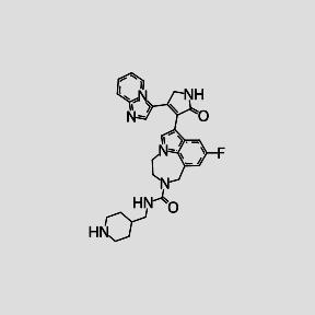 O=C1NCC(c2cnc3ccccn23)=C1c1cn2c3c(cc(F)cc13)CN(C(=O)NCC1CCNCC1)CC2